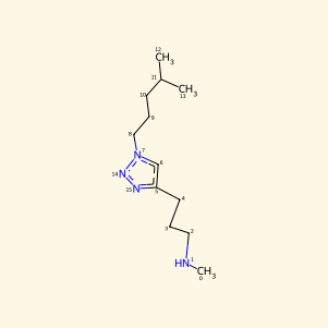 CNCCCc1cn(CCCC(C)C)nn1